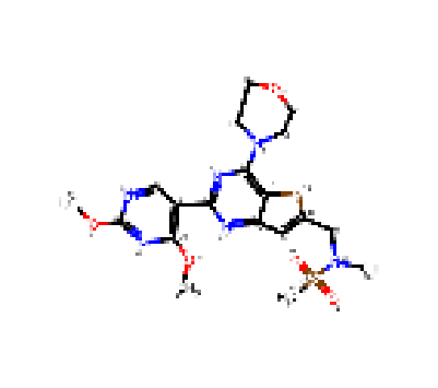 COc1ncc(-c2nc(N3CCOCC3)c3sc(CN(C)S(C)(=O)=O)cc3n2)c(OC)n1